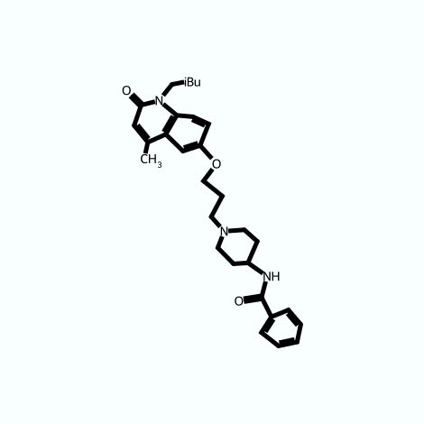 CCC(C)Cn1c(=O)cc(C)c2cc(OCCCN3CCC(NC(=O)c4ccccc4)CC3)ccc21